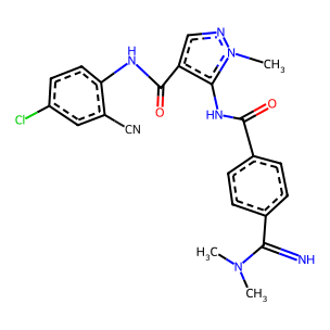 CN(C)C(=N)c1ccc(C(=O)Nc2c(C(=O)Nc3ccc(Cl)cc3C#N)cnn2C)cc1